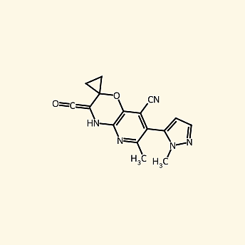 Cc1nc2c(c(C#N)c1-c1ccnn1C)OC1(CC1)C(=C=O)N2